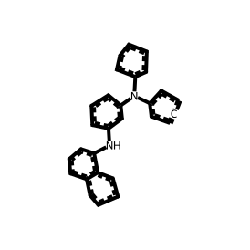 c1ccc(N(c2ccccc2)c2cccc(Nc3cccc4ccccc34)c2)cc1